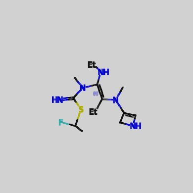 CCN/C(=C(/CC)N(C)C1=CNC1)N(C)C(=N)SC(C)F